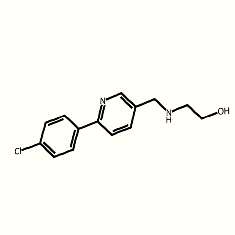 OCCNCc1ccc(-c2ccc(Cl)cc2)nc1